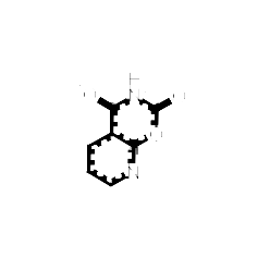 O=c1[nH]c(=O)c2cccnc2o1